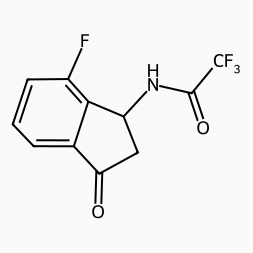 O=C1CC(NC(=O)C(F)(F)F)c2c(F)cccc21